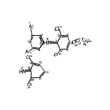 CC(=O)c1cccc(C(C)=O)n1.N=C1C(Cl)=CC=CC1Cl.N=C1C(Cl)=CC=CC1Cl.[Cl-].[Cl-].[Co+2]